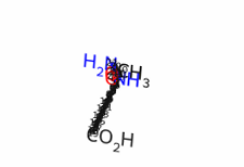 C[C@H](NC(=O)CCCCCCCCCCCCCCC(=O)O)C(=O)CN